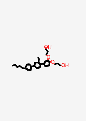 CCCCCc1ccc(-c2ccc(-c3ccc(OCCCO)c(OCCCO)c3)c(CC)c2)cc1